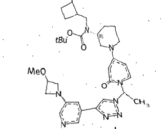 COC1CN(c2cncc(-c3cn(C(C)n4ccc(N5CCC[C@@H](N(CC6CCC6)C(=O)OC(C)(C)C)C5)cc4=O)nn3)c2)C1